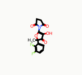 CC1(c2cccc(F)c2F)OC(N2C(=O)CCC2=O)=C(O)C1=O